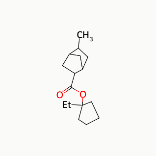 CCC1(OC(=O)C2CC3CC2CC3C)CCCC1